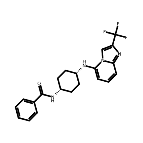 O=C(N[C@H]1CC[C@@H](Nc2cccc3nc(C(F)(F)F)cn23)CC1)c1ccccc1